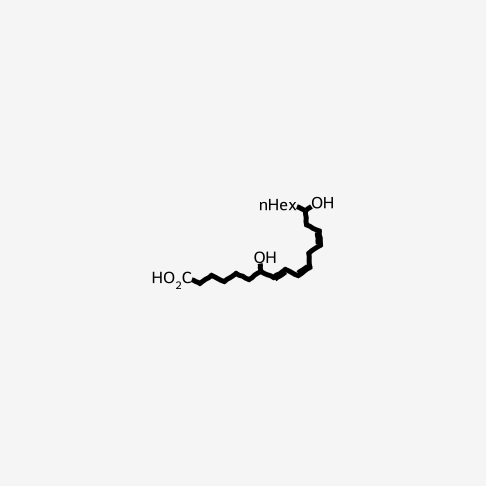 CCCCCCC(O)C/C=C\C/C=C\C=C\C(O)CCCCCC(=O)O